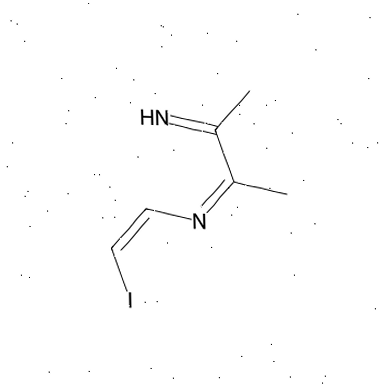 CC(=N)/C(C)=N\C=C/I